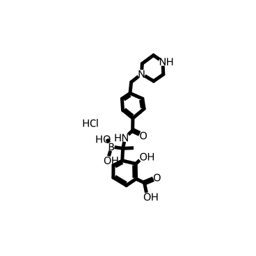 CC(NC(=O)c1ccc(CN2CCNCC2)cc1)(B(O)O)c1cccc(C(=O)O)c1O.Cl